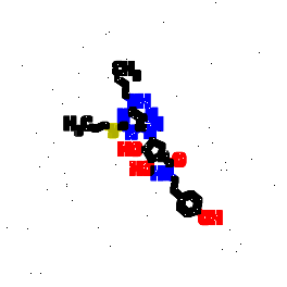 CCCCNc1nc(SCCC)nc2c1nnn2C1C[C@H](C(=O)NCCc2ccc(O)cc2)C(O)C1O